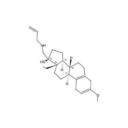 C=CCNC[C@]1(O)CC[C@H]2[C@@H]3CCC4=C(CC=C(OC)C4)[C@H]3CC[C@@]21CC